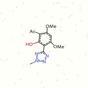 COc1cc(OC)c(-c2nnn(C)n2)c(O)c1C(C)=O